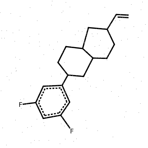 C=CC1CCC2CC(c3cc(F)cc(F)c3)CCC2C1